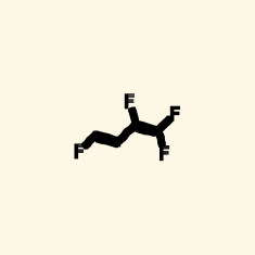 F/C=[C]/C(F)=C(F)F